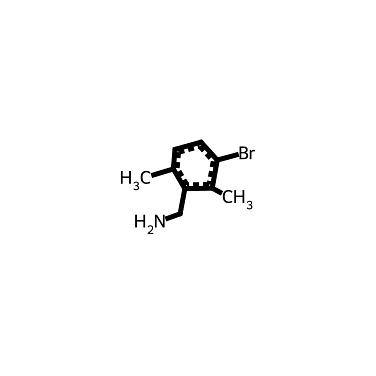 Cc1ccc(Br)c(C)c1CN